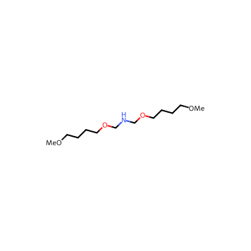 COCCCCOCNCOCCCCOC